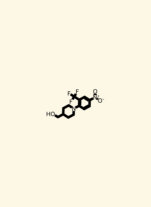 O=[N+]([O-])c1ccc(N2CCC(CO)CC2)c(C(F)(F)F)c1